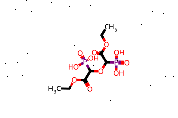 CCOC(=O)C(OC(C(=O)OCC)P(=O)(O)O)P(=O)(O)O